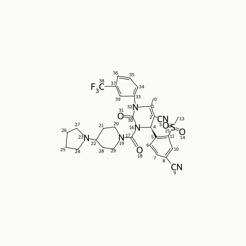 CC1=C(C#N)[C@@H](c2ccc(C#N)cc2S(C)(=O)=O)N(C(=O)N2CCC(N3CCCC3)CC2)C(=O)N1c1cccc(C(F)(F)F)c1